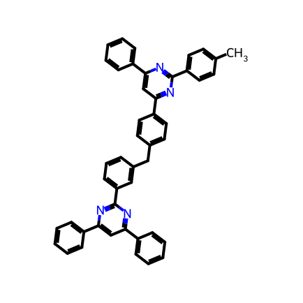 Cc1ccc(-c2nc(-c3ccccc3)cc(-c3ccc(Cc4cccc(-c5nc(-c6ccccc6)cc(-c6ccccc6)n5)c4)cc3)n2)cc1